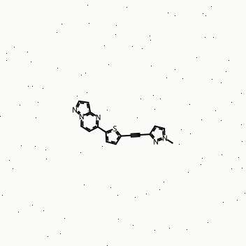 Cn1ccc(C#Cc2ccc(-c3ccn4nccc4n3)s2)n1